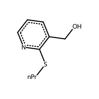 CCCSc1ncccc1CO